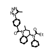 CCC(=O)N(c1ccccc1)C1CC(C)N(C(=O)c2ccc(-n3nnnc3C)cc2)c2ccccc21